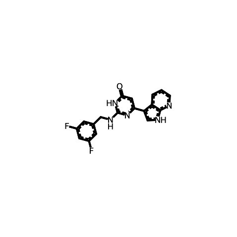 O=c1cc(-c2c[nH]c3ncccc23)nc(NCc2cc(F)cc(F)c2)[nH]1